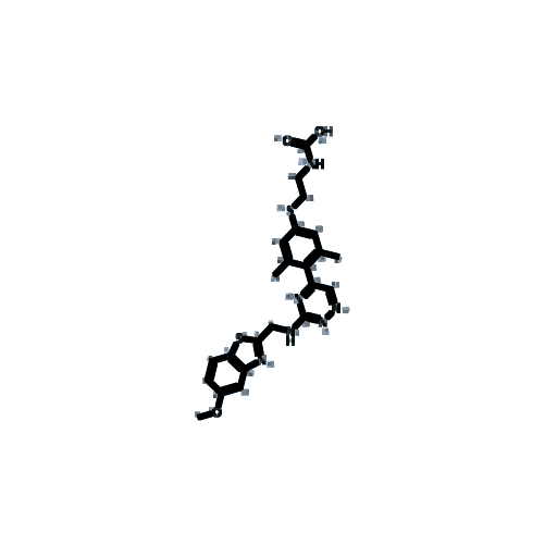 COc1ccc2sc(CNc3nncc(-c4c(C)cc(SCCNC(=O)O)cc4C)n3)nc2c1